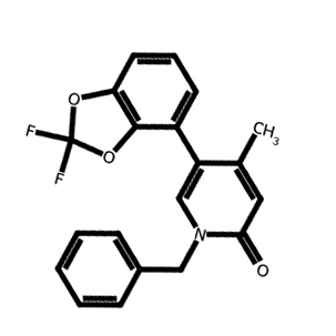 Cc1cc(=O)n(Cc2ccccc2)cc1-c1cccc2c1OC(F)(F)O2